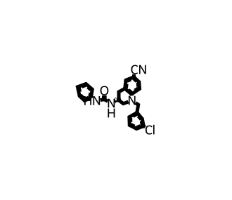 N#Cc1ccc2c(c1)C[C@H](NC(=O)Nc1ccccc1)CN2Cc1cccc(Cl)c1